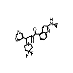 O=C(NCC(c1cncnc1)N1CCC(F)(F)CC1)c1cccc2nc(NC3CC3)ccc12